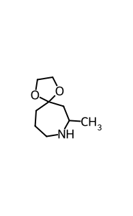 CC1CC2(CCCN1)OCCO2